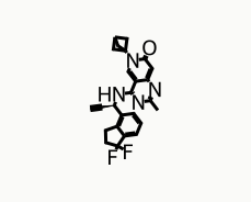 C#C[C@@H](Nc1nc(C)nc2cc(=O)n(C34CC(C3)C4)cc12)c1cccc2c1CCC2(F)F